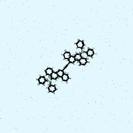 C(#Cc1cc2c3ccccc3c(N(c3ccccc3)c3ccccc3)cc2c2ccccc12)c1cc2c(cc(N(c3ccccc3)C3C=CC=CC3)c3ccccc32)c2c1CCC=C2